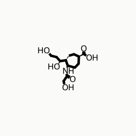 O=C(CO)N[C@@H]1CC[C@H](C(=O)O)CC[C@H]1[C@H](O)CCO